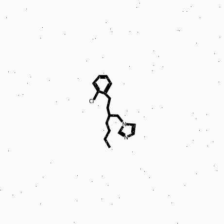 CCCCC(CCc1ccccc1Cl)Cn1ccnc1